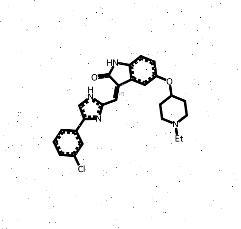 CCN1CCC(Oc2ccc3c(c2)/C(=C/c2nc(-c4cccc(Cl)c4)c[nH]2)C(=O)N3)CC1